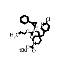 C=CCOC(=O)N(CC1(Cc2ccc(Cl)nc2)CCN(C(=O)OC(C)(C)C)CC1)[C@@H]1CC1c1ccccc1